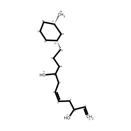 C=CC(O)C/C=C\CC(O)CCC[C@@H]1CCC[C@H](C)C1